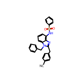 N#Cc1ccc(Cc2nc3c(NS(=O)(=O)c4ccccc4)cccc3n2Cc2ccccc2)cc1